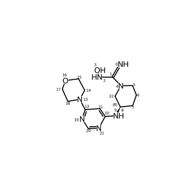 N=C(NO)N1CCC[C@@H](Nc2cc(N3CCOCC3)ncn2)C1